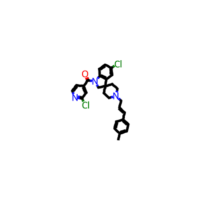 Cc1ccc(/C=C/CN2CCC3(CC2)CN(C(=O)c2ccnc(Cl)c2)c2ccc(Cl)cc23)cc1